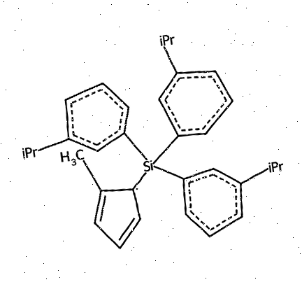 CC1=CC=C[C]1[Si](c1cccc(C(C)C)c1)(c1cccc(C(C)C)c1)c1cccc(C(C)C)c1